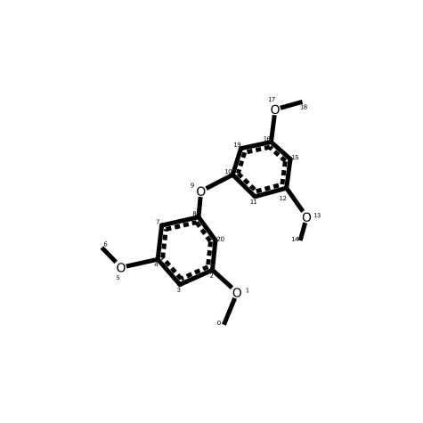 COc1cc(OC)cc(Oc2cc(OC)cc(OC)c2)c1